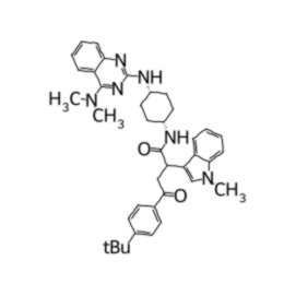 CN(C)c1nc(N[C@H]2CC[C@@H](NC(=O)C(CC(=O)c3ccc(C(C)(C)C)cc3)c3cn(C)c4ccccc34)CC2)nc2ccccc12